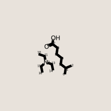 CC(C)CCCCC(=O)O.CCN(CC)CC